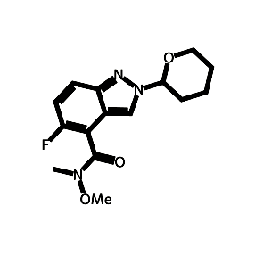 CON(C)C(=O)c1c(F)ccc2nn(C3CCCCO3)cc12